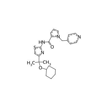 CC(C)(OC1CCCCC1)c1csc(NC(=O)c2cccn2Cc2ccncc2)n1